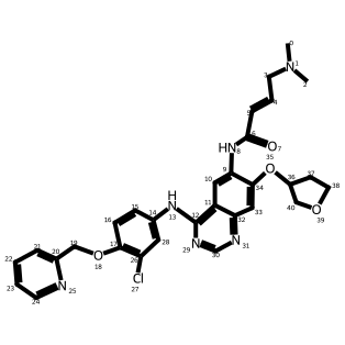 CN(C)C/C=C/C(=O)Nc1cc2c(Nc3ccc(OCc4ccccn4)c(Cl)c3)ncnc2cc1OC1CCOC1